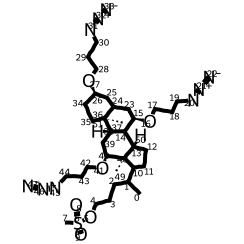 CC(CCCOS(C)(=O)=O)C1CC[C@H]2C3[C@H](OCCCN=[N+]=[N-])CC4C[C@H](OCCCN=[N+]=[N-])CC[C@]4(C)[C@H]3C[C@H](OCCCN=[N+]=[N-])[C@]12C